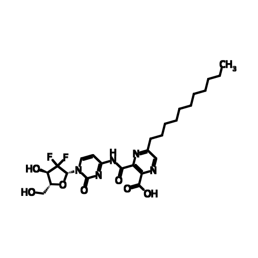 CCCCCCCCCCCc1cnc(C(=O)O)c(C(=O)Nc2ccn([C@@H]3O[C@H](CO)[C@@H](O)C3(F)F)c(=O)n2)n1